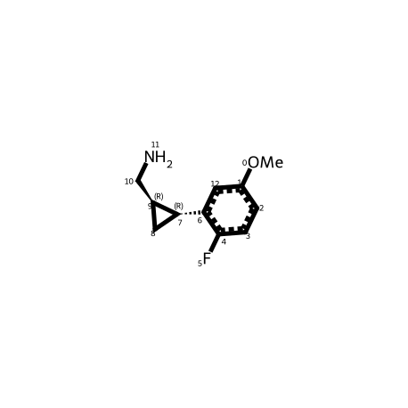 COc1ccc(F)c([C@@H]2C[C@H]2CN)c1